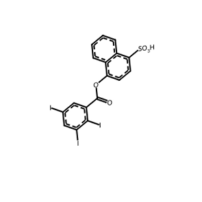 O=C(Oc1ccc(S(=O)(=O)O)c2ccccc12)c1cc(I)cc(I)c1I